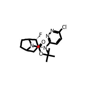 CN(c1ccc(Cl)nn1)[C@@H]1CC2CCC([C@@H]1F)N2C(=O)OC(C)(C)C